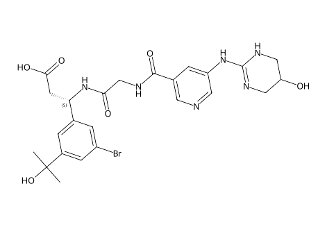 CC(C)(O)c1cc(Br)cc([C@H](CC(=O)O)NC(=O)CNC(=O)c2cncc(NC3=NCC(O)CN3)c2)c1